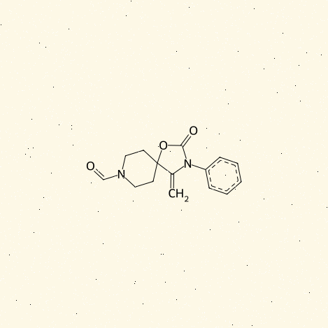 C=C1N(c2ccccc2)C(=O)OC12CCN(C=O)CC2